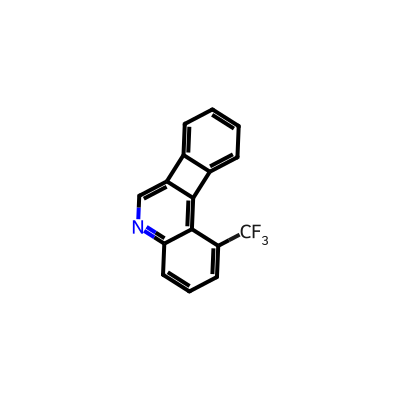 FC(F)(F)c1cccc2ncc3c(c12)-c1ccccc1-3